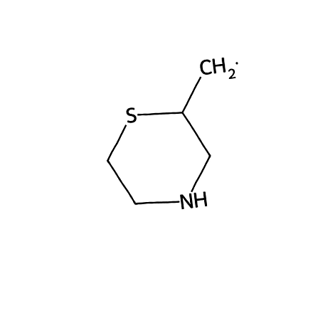 [CH2]C1CNCCS1